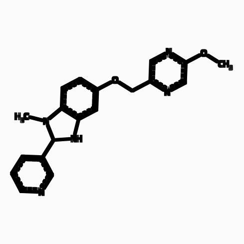 COc1cnc(COc2ccc3c(c2)NC(c2cccnc2)N3C)cn1